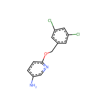 Nc1ccc(OCc2cc(Cl)cc(Cl)c2)nc1